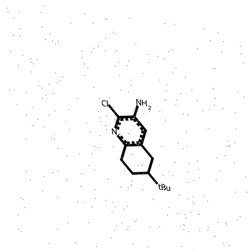 CC(C)(C)C1CCc2nc(Cl)c(N)cc2C1